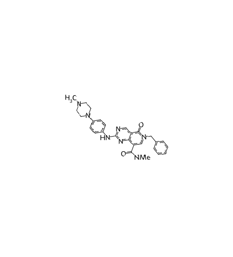 CNC(=O)c1cn(Cc2ccccc2)c(=O)c2cnc(Nc3ccc(N4CCN(C)CC4)cc3)nc12